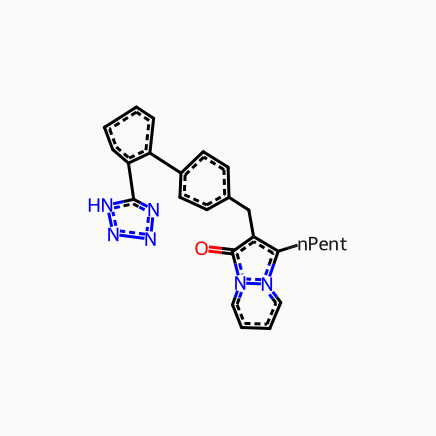 CCCCCc1c(Cc2ccc(-c3ccccc3-c3nnn[nH]3)cc2)c(=O)n2ccccn12